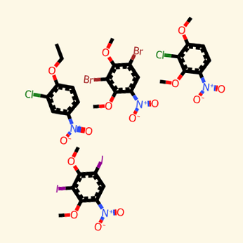 CCOc1ccc([N+](=O)[O-])cc1Cl.COc1c(Br)cc([N+](=O)[O-])c(OC)c1Br.COc1c(I)cc([N+](=O)[O-])c(OC)c1I.COc1ccc([N+](=O)[O-])c(OC)c1Cl